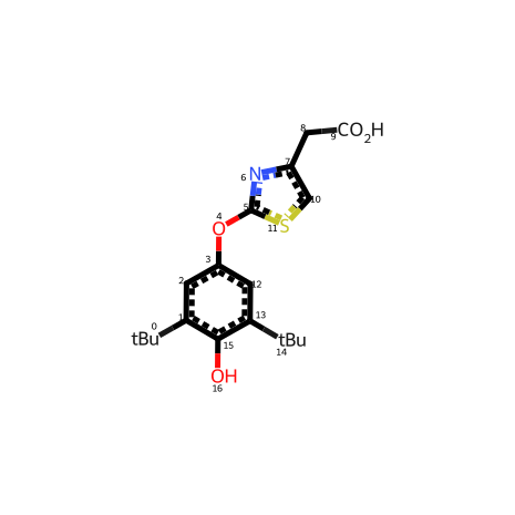 CC(C)(C)c1cc(Oc2nc(CC(=O)O)cs2)cc(C(C)(C)C)c1O